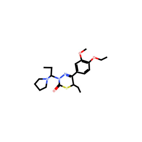 CCOc1ccc(C2=NN(C(CC)N3CCCC3)C(=O)SC2CC)cc1OC